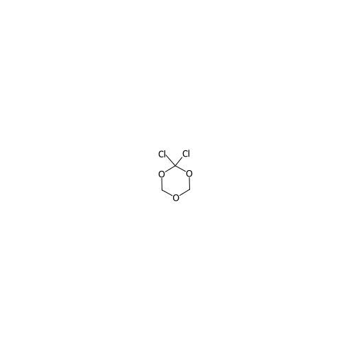 ClC1(Cl)OCOCO1